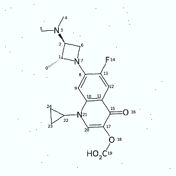 C[C@@H]1[C@@H](N(C)C)CN1c1cc2c(cc1F)c(=O)c(OC(=O)O)cn2C1CC1